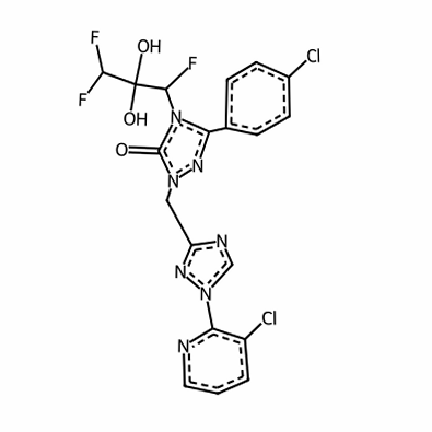 O=c1n(Cc2ncn(-c3ncccc3Cl)n2)nc(-c2ccc(Cl)cc2)n1C(F)C(O)(O)C(F)F